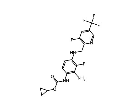 Nc1c(NC(=O)OC2CC2)ccc(NCc2ncc(C(F)(F)F)cc2F)c1F